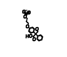 O=CC(C(=O)O)(c1ccccc1)c1ccc(OCCCO[N+](=O)[O-])cc1